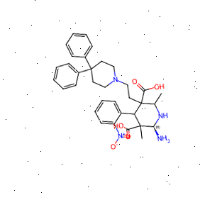 CC1N[C@@H](N)C(C)(C(=O)O)C(c2ccccc2[N+](=O)[O-])C1(CCN1CCC(c2ccccc2)(c2ccccc2)CC1)C(=O)O